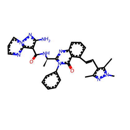 Cc1nn(C)c(C)c1/C=C/c1cccc2nc([C@@H](C)NC(=O)c3c(N)nn4cccnc34)n(-c3ccccc3)c(=O)c12